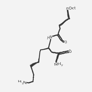 CCCCCCCCCCC(=O)NC(CCCCN)C(N)=O